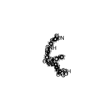 CC[C@@]1(O)C(=O)OCc2c1cc1n(c2=O)Cc2cc3c(CN4CCN(C(=O)C5CCN(c6ccc(C(=O)N[C@H]7CC[C@H](Oc8ccc(C#N)c(Cl)c8)CC7)nn6)CC5)CC4)c(OC(=O)N4CCC(N5CCCCC5)CC4)ccc3nc2-1